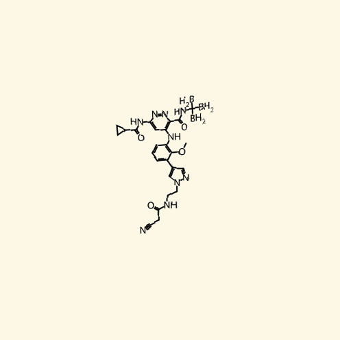 BC(B)(B)NC(=O)c1nnc(NC(=O)C2CC2)cc1Nc1cccc(-c2cnn(CCNC(=O)CC#N)c2)c1OC